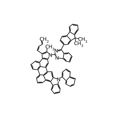 C=C/C=C\c1c(C)n(-c2nc(-c3ccc4c(c3)C(C)(C)c3ccccc3-4)c3ccccc3n2)c2cc3c4cc5c(c6cccc(c7cccc(c12)c73)c46)c1ccccc1n5-c1cccc2ccccc12